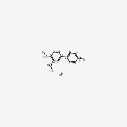 COc1ccc(-c2cc[n+](C)cc2)cc1OC.[I-]